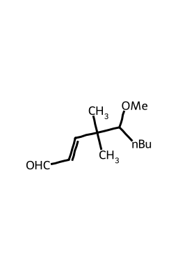 CCCCC(OC)C(C)(C)C=CC=O